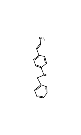 O=[N+]([O-])C=Cc1ccc(NCc2ccccc2)cc1